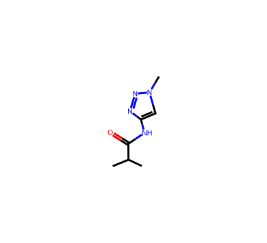 CC(C)C(=O)Nc1cn(C)nn1